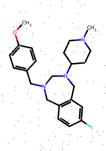 COc1ccc(CN2Cc3ccc(F)cc3CN(C3CCN(C)CC3)C2)cc1